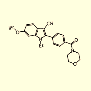 CCn1c(-c2ccc(C(=O)N3CCOCC3)cc2)c(C#N)c2ccc(OC(C)C)cc21